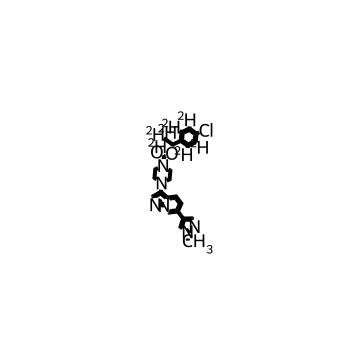 [2H]c1c([2H])c(C(OC(=O)N2CCN(c3cnn4cc(-c5cnn(C)c5)ccc34)CC2)C([2H])([2H])[2H])c([2H])c([2H])c1Cl